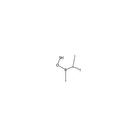 SOB(I)I(I)I